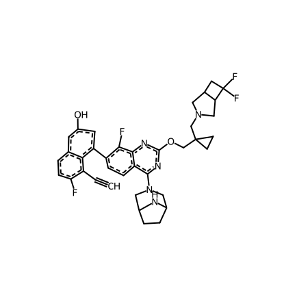 C#Cc1c(F)ccc2cc(O)cc(-c3ccc4c(N5CC6CCC(C5)N6)nc(OCC5(CN6CC7CC(F)(F)C7C6)CC5)nc4c3F)c12